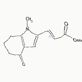 COC(=O)/C=C/c1cc2c(n1C)CCCC2=O